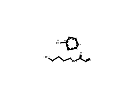 C=CC(=O)NCCCCO.Oc1ccccc1